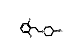 CC(C)(C)C1CCN(CCc2c(F)cccc2F)CC1